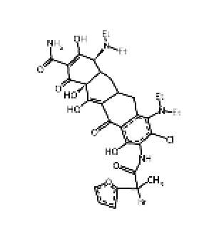 CCN(CC)c1c(Cl)c(NC(=O)C(C)(Br)c2ccco2)c(O)c2c1CC1CC3[C@H](N(CC)CC)C(O)=C(C(N)=O)C(=O)[C@@]3(O)C(O)=C1C2=O